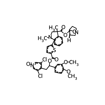 COc1ccc(C(Cc2c(Cl)c[n+]([O-])cc2Cl)OC(=O)c2ccc(CN(C)CC(C)(C(=O)O[C@H]3CN4CCC3CC4)c3ccccc3)s2)cc1OC